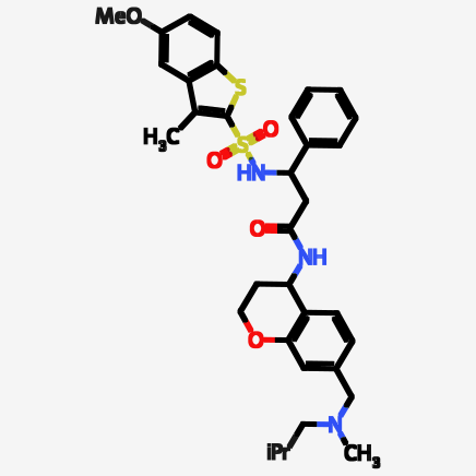 COc1ccc2sc(S(=O)(=O)NC(CC(=O)NC3CCOc4cc(CN(C)CC(C)C)ccc43)c3ccccc3)c(C)c2c1